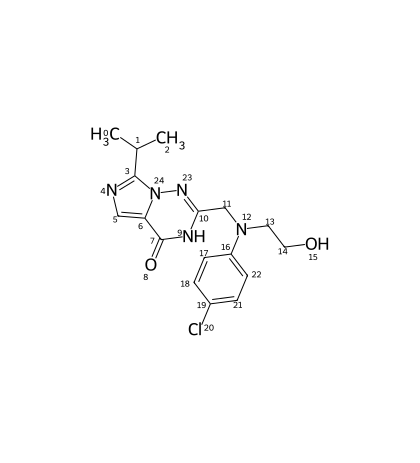 CC(C)c1ncc2c(=O)[nH]c(CN(CCO)c3ccc(Cl)cc3)nn12